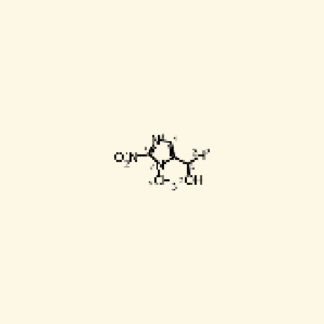 [2H]C(O)c1cnc([N+](=O)[O-])n1C